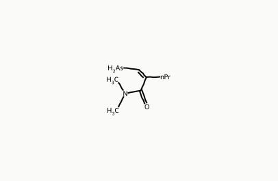 CCCC(=C[AsH2])C(=O)N(C)C